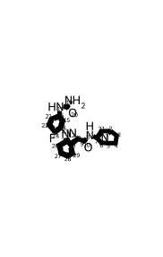 CN1C2CCC1CC(NC(=O)c1nn(-c3cc(NC(N)=O)ccc3F)c3ccccc13)C2